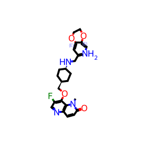 C=C(/C=C1/OCCO/C1=C/N)CN[C@H]1CC[C@H](COc2c(F)cnc3ccc(=O)n(C)c23)CC1